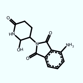 Nc1cccc2c1C(=O)N(C1CCC(=O)NC1O)C2=O